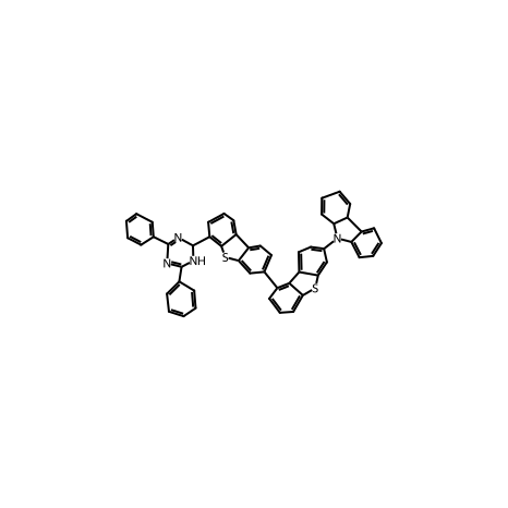 C1=CC2c3ccccc3N(c3ccc4c(c3)sc3cccc(-c5ccc6c(c5)sc5c(C7N=C(c8ccccc8)N=C(c8ccccc8)N7)cccc56)c34)C2C=C1